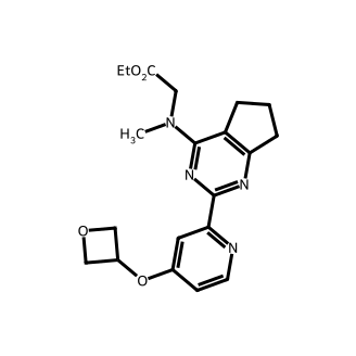 CCOC(=O)CN(C)c1nc(-c2cc(OC3COC3)ccn2)nc2c1CCC2